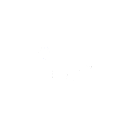 CC1Oc2ccc(C(=O)O)cc2C=C1Cn1ccnc1